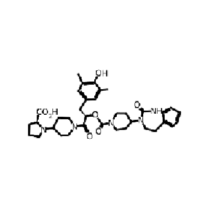 Cc1cc(C[C@@H](OC(=O)N2CCC(N3CCc4ccccc4NC3=O)CC2)C(=O)N2CCC(N3CCC[C@H]3C(=O)O)CC2)cc(C)c1O